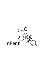 CCCCCC1C=Cc2c(C(=O)Cl)nn(S(=O)(=O)c3ccc(C)cc3)c2C1